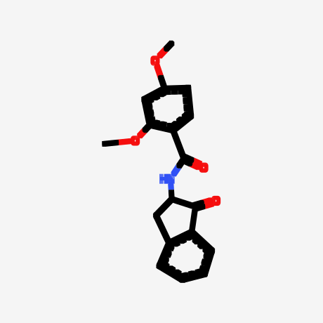 COc1ccc(C(=O)NC2Cc3ccccc3C2=O)c(OC)c1